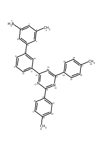 Bc1cc(C)cc(-c2cccc(-c3nc(-c4ccc(C)cc4)nc(-c4ccc(C)cc4)n3)c2)c1